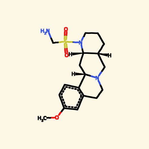 COc1ccc2c(c1)CCN1C[C@H]3CCCN(S(=O)(=O)CN)[C@H]3C[C@@H]21